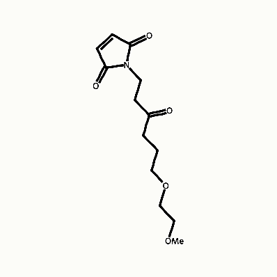 COCCOCCCC(=O)CCN1C(=O)C=CC1=O